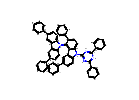 c1ccc(-c2ccc3c(c2)c2cc(-c4ccccc4)ccc2n3-c2c(-c3ccccc3)ccc3c2c2cc(-c4ccccc4)ccc2n3-c2nc(-c3ccccc3)nc(-c3ccccc3)n2)cc1